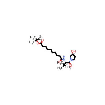 CC(C)(C)OC(=O)CCCCCCCCC(=O)N[C@H](C(=O)N1CC[C@@H](O)C1)C(C)(C)C